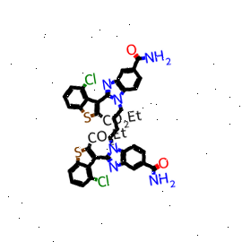 CCOC(=O)c1sc2cccc(Cl)c2c1-c1nc2cc(C(N)=O)ccc2n1CCCCn1c(-c2c(C(=O)OCC)sc3cccc(Cl)c23)nc2cc(C(N)=O)ccc21